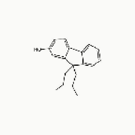 CCCC1(CCC)c2ccccc2-c2ccc(O)cc21